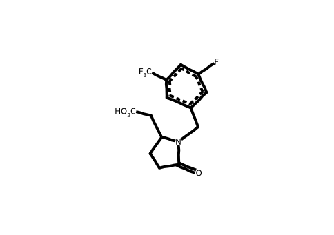 O=C(O)CC1CCC(=O)N1Cc1cc(F)cc(C(F)(F)F)c1